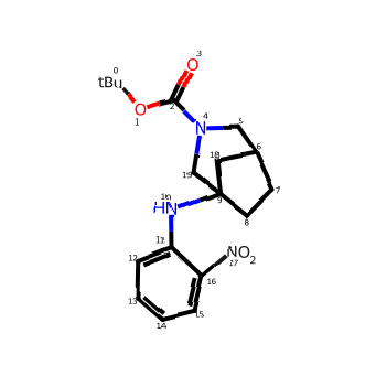 CC(C)(C)OC(=O)N1CC2CCC(Nc3ccccc3[N+](=O)[O-])(C2)C1